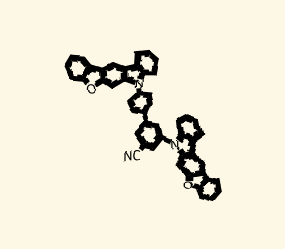 N#Cc1cc(-c2ccc(-n3c4ccccc4c4cc5c(cc43)oc3ccccc35)cc2)cc(-n2c3ccccc3c3cc4c(cc32)oc2ccccc24)c1